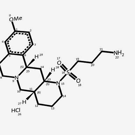 COc1ccc2c(c1)CCN1C[C@H]3CCCN(S(=O)(=O)CCCN)[C@H]3C[C@@H]21.Cl